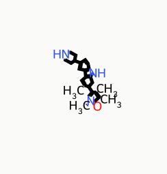 CC1=Cc2c([nH]c3ccc(C4CCNCC4)cc23)CC1c1cn(C)c(=O)c(C)c1C